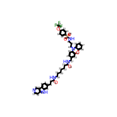 O=C(CCc1ccc2c(c1)[nH]c1ccncc12)NCCCCCCC(=O)NCc1ccc2c(c1)Oc1ccccc1N2CCCNS(=O)(=O)c1ccc(OC(F)(F)F)cc1